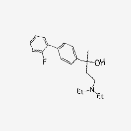 CCN(CC)CCC(C)(O)c1ccc(-c2ccccc2F)cc1